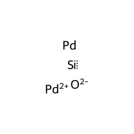 [O-2].[Pd+2].[Pd].[Si]